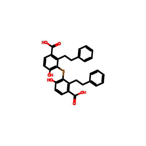 O=C(O)c1ccc(O)c(Sc2c(O)ccc(C(=O)O)c2CCc2ccccc2)c1CCc1ccccc1